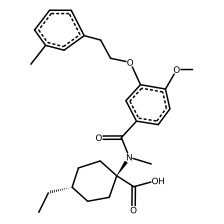 CC[C@H]1CC[C@](C(=O)O)(N(C)C(=O)c2ccc(OC)c(OCCc3cccc(C)c3)c2)CC1